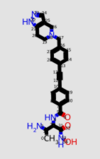 CC(N)C(NC(=O)c1ccc(C#Cc2ccc(CN3CCc4[nH]ncc4C3)cc2)cc1)C(=O)NO